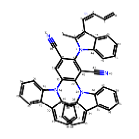 C=C/C=C\c1c(C)n(-c2c(C#N)cc(-n3c4ccccc4c4ccccc43)c(-n3c4ccccc4c4ccccc43)c2C#N)c2ccccc12